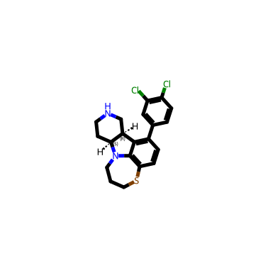 Clc1ccc(-c2ccc3c4c2[C@@H]2CNCC[C@@H]2N4CCCS3)cc1Cl